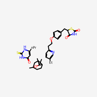 CC12CCC(CC1)C(C)(C)O2.CCCc1cc(=O)[nH]c(=S)[nH]1.CCc1ccc(CCOc2ccc(CC3SC(=O)NC3=O)cc2)nc1